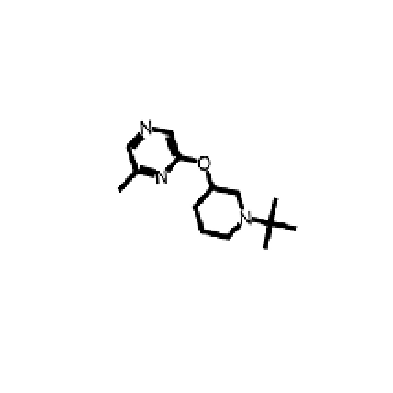 Cc1cncc(OC2CCCN(C(C)(C)C)C2)n1